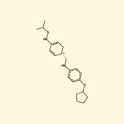 CC(C)SNC1=CC[C@H](CNc2ccc(OC3CCCC3)cc2)C=C1